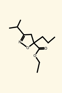 CCCC1(C(=O)OCC)CC(C(C)C)=NO1